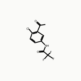 CC(=O)c1cc(NC(=O)C(F)(F)F)ccc1Cl